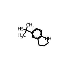 CC(C)(S)c1ccc2c(c1)CCCN2